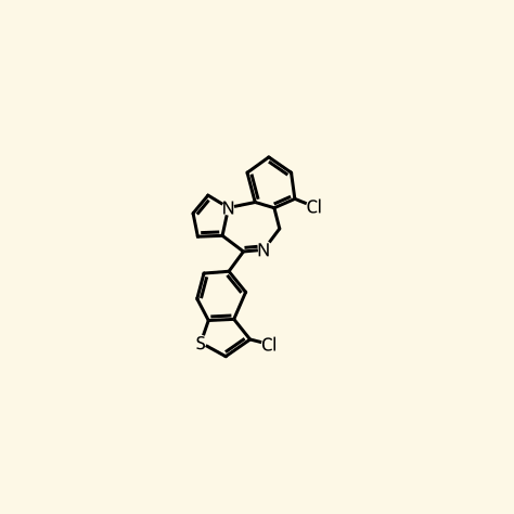 Clc1cccc2c1CN=C(c1ccc3scc(Cl)c3c1)c1cccn1-2